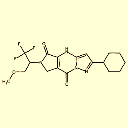 COCC(N1Cc2c([nH]c3cc(C4CCCCC4)nn3c2=O)C1=O)C(F)(F)F